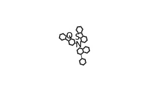 c1ccc(-c2ccc(N(c3ccc4c(c3)oc3ccccc34)c3cccc4c3sc3ccccc34)c3ccccc23)cc1